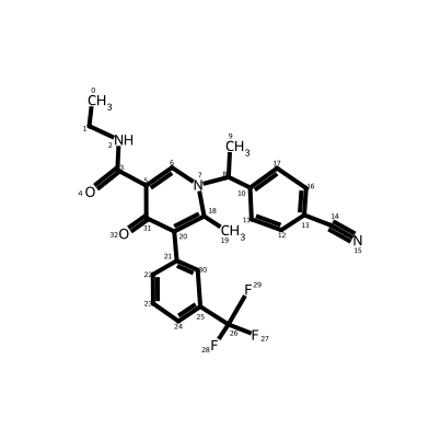 CCNC(=O)c1cn(C(C)c2ccc(C#N)cc2)c(C)c(-c2cccc(C(F)(F)F)c2)c1=O